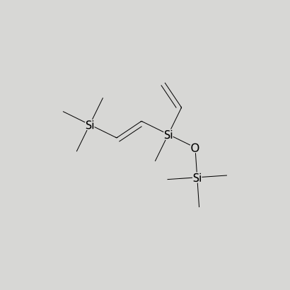 C=C[Si](C)(C=C[Si](C)(C)C)O[Si](C)(C)C